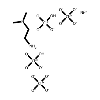 CN(C)CCN.[Ni+2].[O-][Cl+3]([O-])([O-])O.[O-][Cl+3]([O-])([O-])O.[O-][Cl+3]([O-])([O-])[O-].[O-][Cl+3]([O-])([O-])[O-]